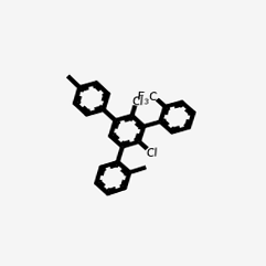 Cc1ccc(-c2cc(-c3ccccc3C)c(Cl)c(-c3ccccc3C(F)(F)F)c2Cl)cc1